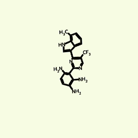 Cc1cccc2c(-c3nc(-c4c(N)ccc(N)c4N)ncc3C(F)(F)F)c[nH]c12